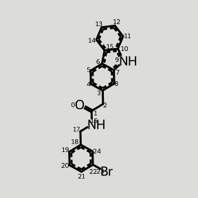 O=C(Cc1ccc2c(c1)[nH]c1ccccc12)NCc1cccc(Br)c1